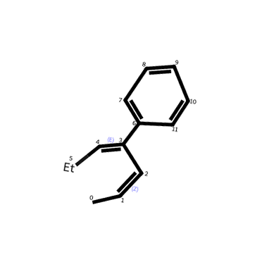 C/C=C\C(=C/CC)c1ccccc1